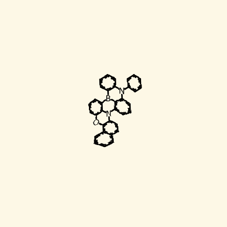 c1ccc(N2c3ccccc3B3c4cccc5c4N(c4cccc2c43)c2ccc3ccccc3c2O5)cc1